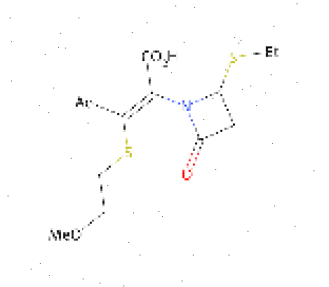 CCSC1CC(=O)N1C(C(=O)O)=C(SCCOC)C(C)=O